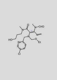 C=N/C(=C(/C(=O)N(C)CCCO)N(COCC)Cc1ccc(Cl)cn1)N(C)C=O